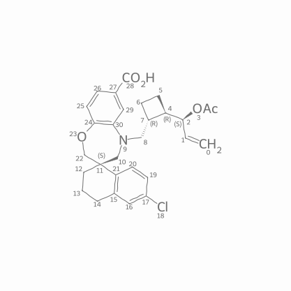 C=C[C@H](OC(C)=O)[C@@H]1CC[C@H]1CN1C[C@@]2(CCCc3cc(Cl)ccc32)COc2ccc(C(=O)O)cc21